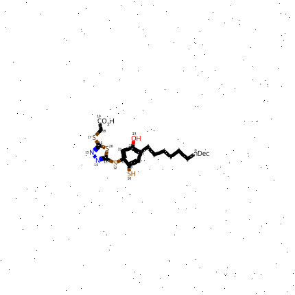 CCCCCCCCCCCCCCCCc1cc(S)c(Sc2nnc(SCC(=O)O)s2)cc1O